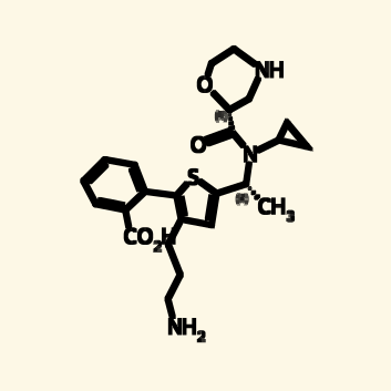 C[C@H](c1cc(CCCN)c(-c2ccccc2C(=O)O)s1)N(C(=O)[C@H]1CNCCO1)C1CC1